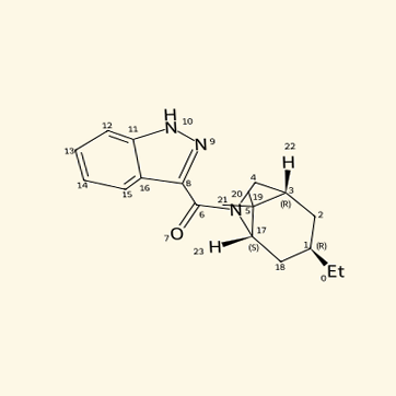 CC[C@@H]1C[C@H]2CN(C(=O)c3n[nH]c4ccccc34)[C@@H](C1)C2(C)C